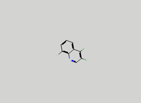 O=[N+]([O-])c1cccc2c(Cl)c(Cl)cnc12